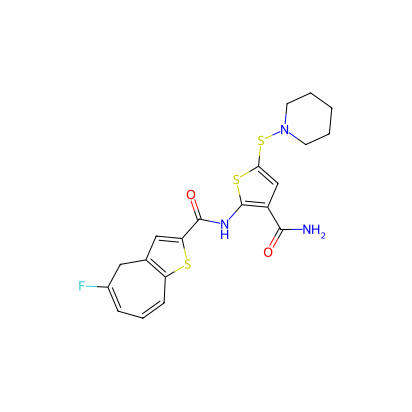 NC(=O)c1cc(SN2CCCCC2)sc1NC(=O)c1cc2c(s1)C=CC=C(F)C2